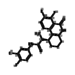 CN(C(=O)Nc1ccc(F)c(Cl)c1)[C@@H]1CCCc2[nH]c(=O)c3c(F)c(F)ccc3c21